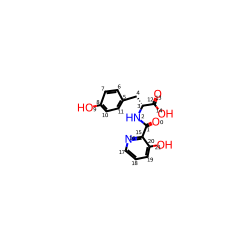 O=C(N[C@H](Cc1ccc(O)cc1)C(=O)O)c1ncccc1O